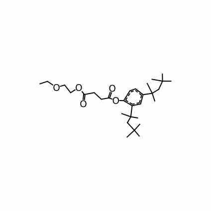 CCOCCOC(=O)CCC(=O)Oc1ccc(C(C)(C)CC(C)(C)C)cc1C(C)(C)CC(C)(C)C